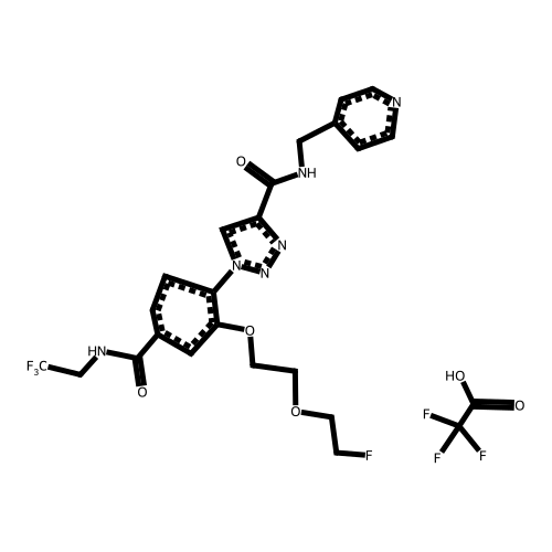 O=C(NCC(F)(F)F)c1ccc(-n2cc(C(=O)NCc3ccncc3)nn2)c(OCCOCCF)c1.O=C(O)C(F)(F)F